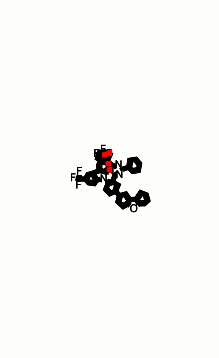 FC(F)(F)c1ccc2c(c1)c1cc(C(F)(F)F)ccc1n2-c1ccc(-c2ccc3oc4ccccc4c3c2)cc1-c1nc(-c2ccccc2)nc(-c2ccccc2)n1